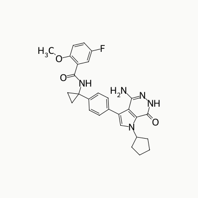 COc1ccc(F)cc1C(=O)NC1(c2ccc(-c3cn(C4CCCC4)c4c(=O)[nH]nc(N)c34)cc2)CC1